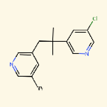 CC(C)c1cncc(CC(C)(C)c2cncc(Cl)c2)c1